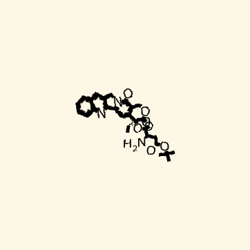 CC[C@@]1(OC(=O)C(N)CC(=O)OC(C)(C)C)C(=O)OCc2c1cc1n(c2=O)Cc2cc3ccccc3nc2-1